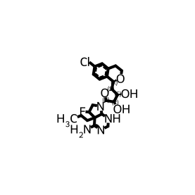 CCCC12C(N)=NCNC1N([C@@H]1O[C@H]([C@@H]3OCCc4cc(Cl)ccc43)[C@@H](O)[C@H]1O)CC2F